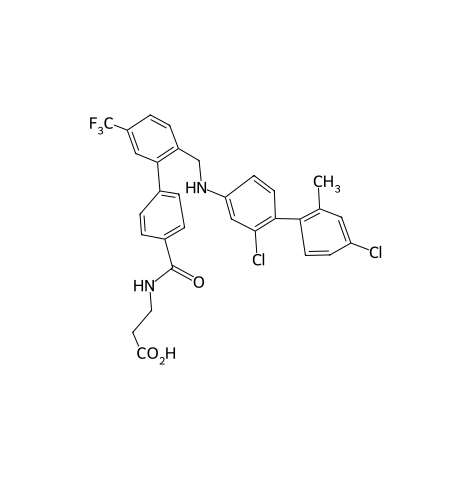 Cc1cc(Cl)ccc1-c1ccc(NCc2ccc(C(F)(F)F)cc2-c2ccc(C(=O)NCCC(=O)O)cc2)cc1Cl